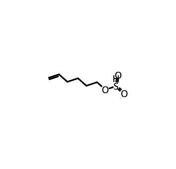 C=CCCCCO[SH](=O)=O